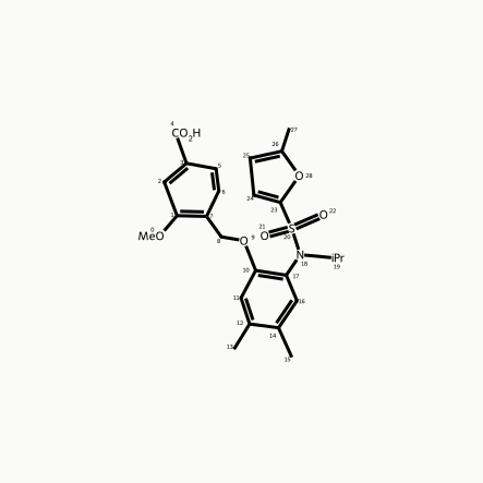 COc1cc(C(=O)O)ccc1COc1cc(C)c(C)cc1N(C(C)C)S(=O)(=O)c1ccc(C)o1